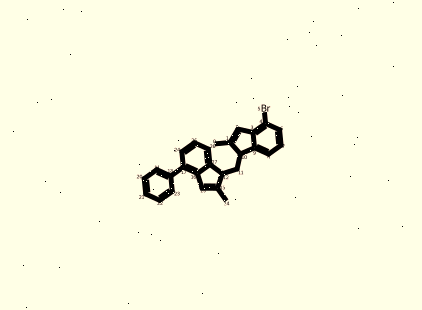 CC1=Cc2c(Br)cccc2C1CC1C(C)=Cc2c(-c3ccccc3)cccc21